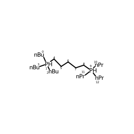 CCCC[PH](CCCC)(CCCC)CCCCC[PH](CCC)(CCC)CCC